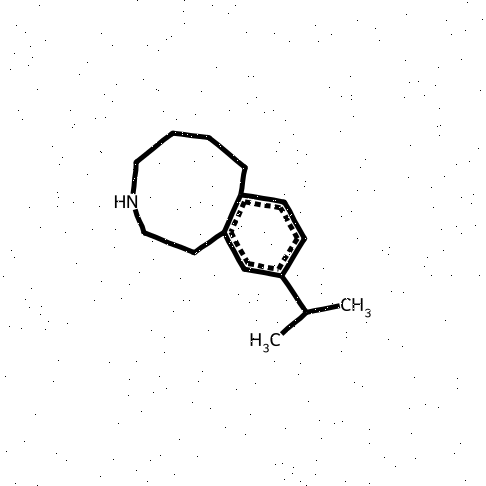 CC(C)c1ccc2c(c1)CCNCCCC2